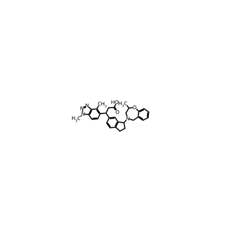 Cc1c(C(CC(=O)O)c2ccc3c(c2)C(N2Cc4ccccc4OC(C)C2)CC3)ccc2c1nnn2C